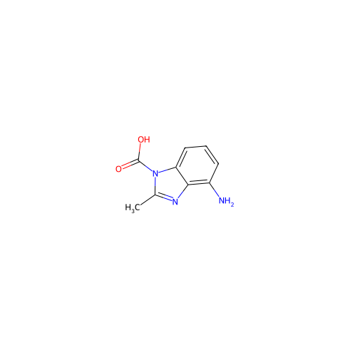 Cc1nc2c(N)cccc2n1C(=O)O